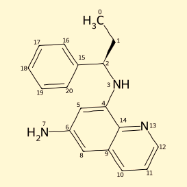 CC[C@@H](Nc1cc(N)cc2cccnc12)c1ccccc1